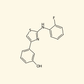 Oc1cccc(-c2csc(Nc3ccccc3F)n2)c1